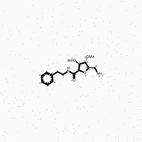 CO[C@H]1[C@H](OC)C(C(=O)NCCc2ccccc2)O[C@@H]1CN